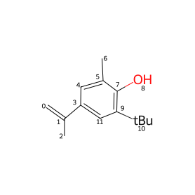 C=C(C)c1cc(C)c(O)c(C(C)(C)C)c1